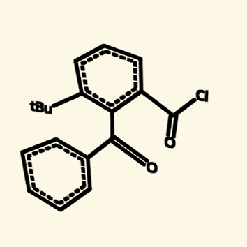 CC(C)(C)c1cccc(C(=O)Cl)c1C(=O)c1ccccc1